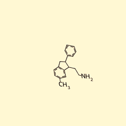 Cc1ccc2c(c1)C(CCN)C(c1ccccc1)C2